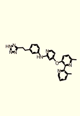 Cc1ccc(Oc2ccnc(Nc3cccc(CCc4nn[nH]n4)c3)c2)c(-c2ncccc2C)n1